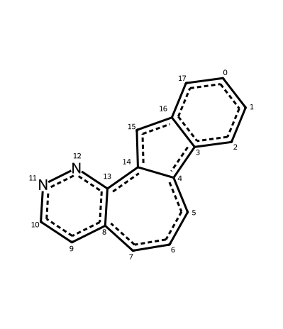 c1ccc2c3cccc4ccnnc4c-3cc2c1